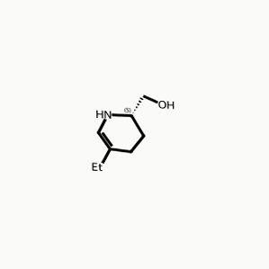 CCC1=CN[C@H](CO)CC1